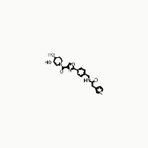 O=C(Cc1ccsc1)NCc1ccc(-c2nc(C(=O)N3CC[C@H](O)[C@@H](O)C3)co2)cc1